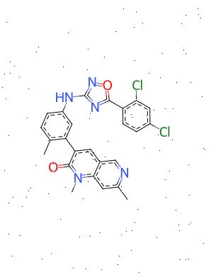 Cc1cc2c(cn1)cc(-c1cc(Nc3noc(-c4ccc(Cl)cc4Cl)n3)ccc1C)c(=O)n2C